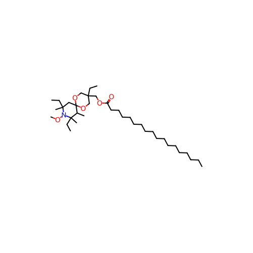 CCCCCCCCCCCCCCCCCC(=O)OCC1(CC)COC2(CC(C)(CC)N(OC)C(C)(CC)C2C)OC1